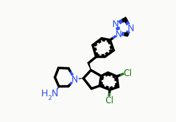 N[C@@H]1CCCN([C@H]2Cc3c(Cl)cc(Cl)cc3[C@@H]2Cc2ccc(-n3cncn3)cc2)C1